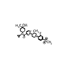 C[C@@H]1CN(c2ccc(S(C)(=O)=O)cc2F)CCN1c1nccc(C(=O)N(C2CC2)C2CCC(C)(O)CC2)n1